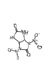 O=C1NC2C(N1)N([N+](=O)[O-])C(=O)N2[N+](=O)[O-]